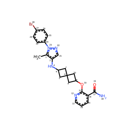 Cc1c(NC2CC3(C2)CC(Oc2ncccc2C(N)=O)C3)cnn1-c1ccc(Br)cc1